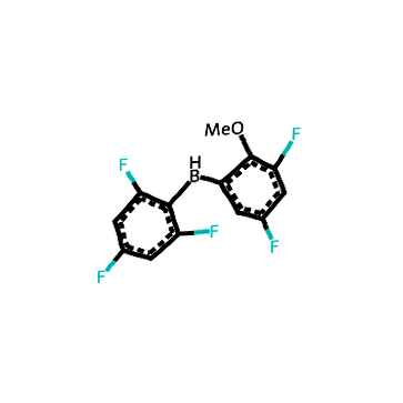 COc1c(F)cc(F)cc1Bc1c(F)cc(F)cc1F